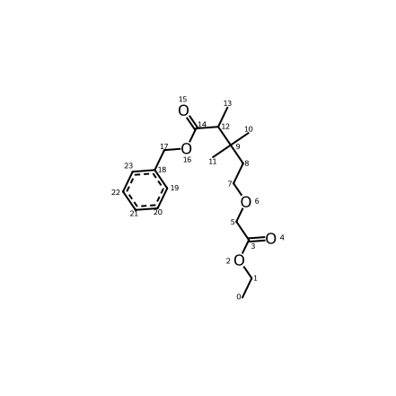 CCOC(=O)COCCC(C)(C)C(C)C(=O)OCc1ccccc1